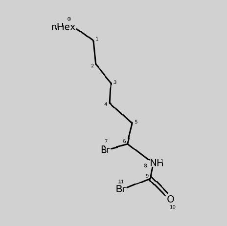 CCCCCCCCCCCC(Br)NC(=O)Br